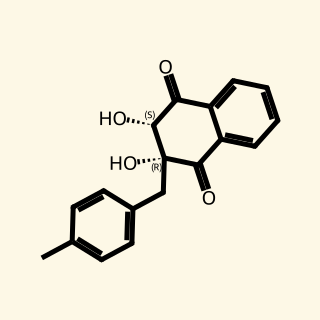 Cc1ccc(C[C@]2(O)C(=O)c3ccccc3C(=O)[C@H]2O)cc1